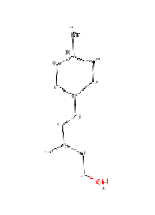 CC(CCO)CCC1CCC(C(C)C)CC1